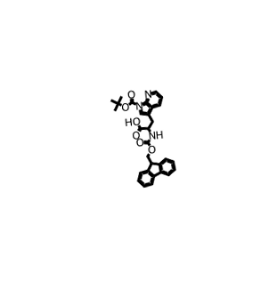 CC(C)(C)OC(=O)n1cc(CC(NC(=O)OCC2c3ccccc3-c3ccccc32)C(=O)O)c2cccnc21